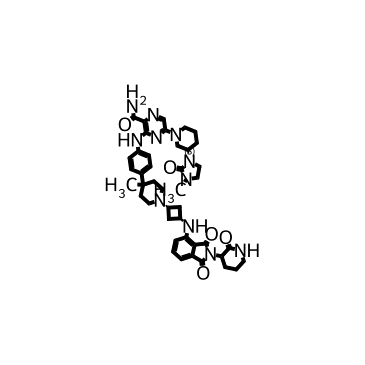 CN1CCN([C@H]2CCCN(c3cnc(C(N)=O)c(Nc4ccc(C5(C)CCN([C@H]6C[C@H](Nc7cccc8c7C(=O)N(C7CCCNC7=O)C8=O)C6)CC5)cc4)n3)C2)C1=O